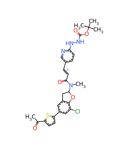 CC(=O)c1ccc(-c2cc(Cl)c3c(c2)CC(N(C)C(=O)/C=C/c2ccc(NNC(=O)OC(C)(C)C)nc2)O3)s1